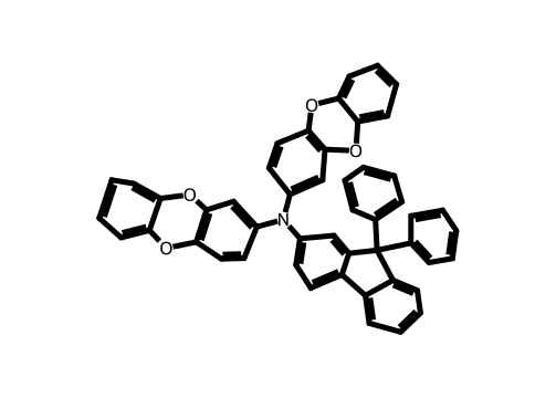 c1ccc(C2(c3ccccc3)c3ccccc3-c3ccc(N(c4ccc5c(c4)Oc4ccccc4O5)c4ccc5c(c4)Oc4ccccc4O5)cc32)cc1